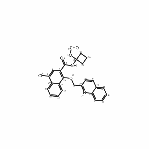 O=COC1(NC(=O)c2cc(Cl)c3ccccc3c2OCc2ccc3ccccc3n2)CCC1